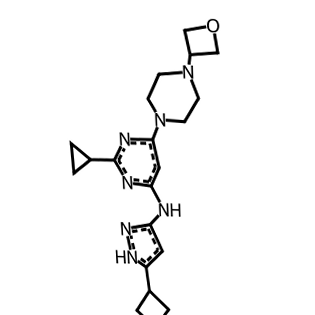 c1c(Nc2cc(C3CCC3)[nH]n2)nc(C2CC2)nc1N1CCN(C2COC2)CC1